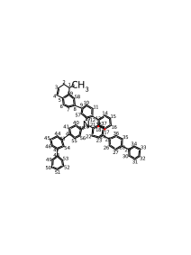 CC1CC=Cc2ccc(-c3ccc(-c4ccccc4)c(N(c4ccc(-c5ccc(-c6ccccc6)cc5)cc4)c4ccc(-c5cccc(-c6ccccc6)c5)cc4)c3)cc21